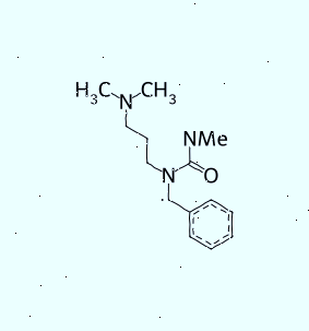 CNC(=O)N([CH]c1ccccc1)CCCN(C)C